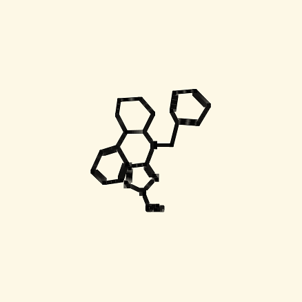 COn1nnc(N(Cc2ccccc2)C2CCCCC2c2ccccc2)n1